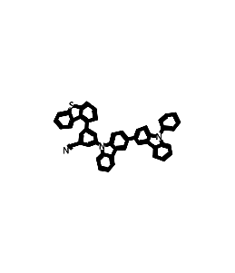 N#Cc1cc(-c2cccc3sc4ccccc4c23)cc(-n2c3ccccc3c3cc(-c4ccc5c(c4)c4ccccc4n5-c4ccccc4)ccc32)c1